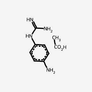 CC(=O)O.N=C(N)Nc1ccc(N)cc1